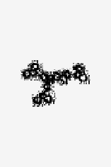 C[Si]1(C)c2cc(-c3cc4ccccc4c4ccccc34)ccc2-c2ccc(-n3c4ccc(-c5cc6ccccc6c6ccccc56)cc4c4cc(-c5cc6ccccc6c6ccccc56)ccc43)cc21